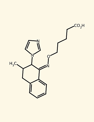 CC1Cc2ccccc2C(=NOCCCCC(=O)O)C1n1ccnc1